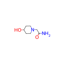 NC(=O)CN1CCC(O)CC1